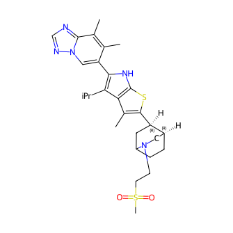 Cc1c(-c2[nH]c3sc([C@@H]4CC5CC[C@H]4CN5CCS(C)(=O)=O)c(C)c3c2C(C)C)cn2ncnc2c1C